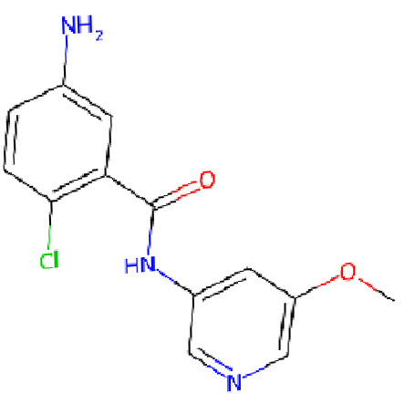 COc1cncc(NC(=O)c2cc(N)ccc2Cl)c1